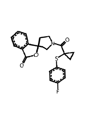 O=C1OC2(CCN(C(=O)C3(Sc4ccc(F)cc4)CC3)C2)c2ccccc21